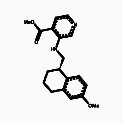 COC(=O)c1ccncc1NC[C@@H]1CCCc2cc(OC)ccc21